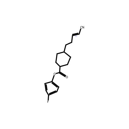 N#C/C=C/CCC1CCC(C(=O)Oc2ccc(F)cc2)CC1